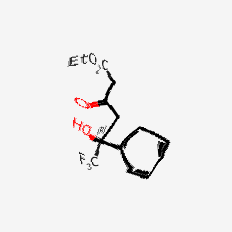 CCOC(=O)CC(=O)C[C@@](O)(c1ccccc1)C(F)(F)F